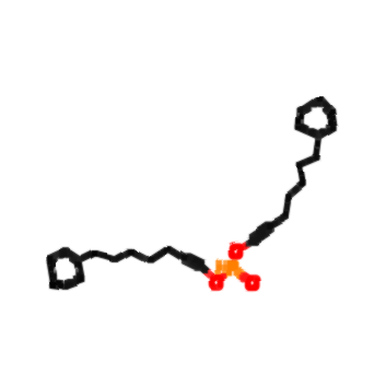 O=[PH](OC#CCCCCCc1ccccc1)OC#CCCCCCc1ccccc1